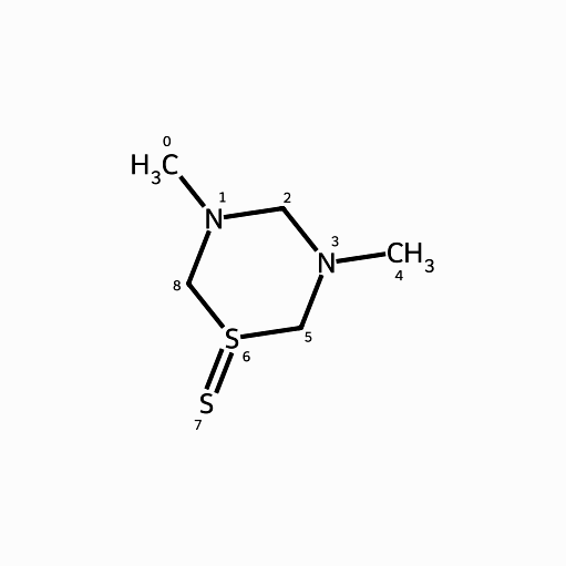 CN1CN(C)CS(=S)C1